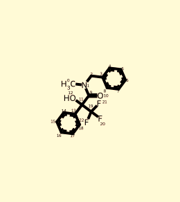 CN(Cc1ccccc1)C(=O)C(O)(c1ccccc1)C(F)(F)F